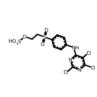 O=S(=O)(O)OCCS(=O)(=O)c1ccc(Nc2nc(Cl)nc(Cl)c2Cl)cc1